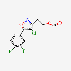 O=COCCc1noc(-c2ccc(F)c(F)c2)c1Cl